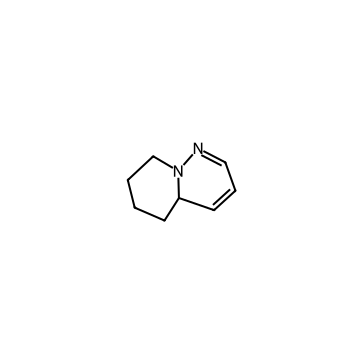 C1=CC2CCCCN2N=C1